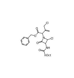 C=C(CCl)C(C(=O)OCc1ccccc1)N1C(=O)C(NC(=O)CCCCCCCC)C1Cl